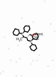 C=C(CCCCC)C[C@H](CP(C1CCCCC1)C1CCCCC1)[C@@H](C)P(C1CCCCC1)C1CCCCC1